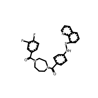 O=C(c1ccc(NSc2cccc3cccnc23)cc1)N1CCCN(C(=O)c2ccc(F)c(F)c2)CC1